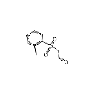 Cc1ccccc1S(=O)(=O)CC=O